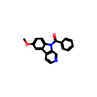 COc1ccc2c(c1)c1ccncc1n2C(=O)c1ccccc1